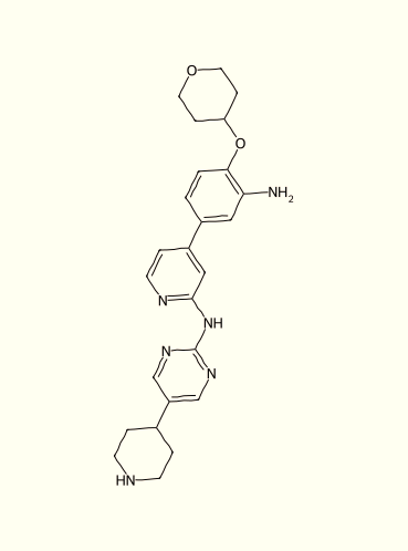 Nc1cc(-c2ccnc(Nc3ncc(C4CCNCC4)cn3)c2)ccc1OC1CCOCC1